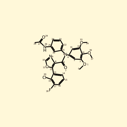 COc1cc(N(C(=O)c2ncoc2-c2cccc(F)c2Cl)c2cccc(NC(C)=O)c2)cc(OC)c1OC